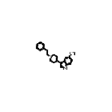 N#Cc1ccc2[nH]cc(C3=CCN(CCc4ccccc4)CC3)c2c1